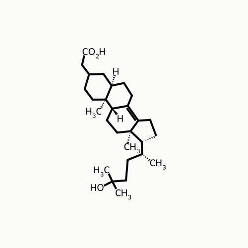 C[C@H](CCC(C)(C)O)[C@H]1CCC2=C3CC[C@@H]4CC(CC(=O)O)CC[C@]4(C)[C@H]3CC[C@@]21C